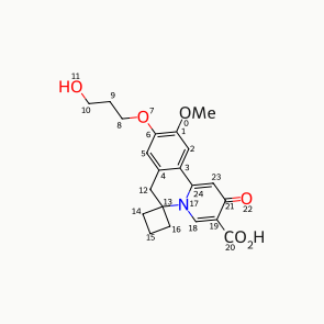 COc1cc2c(cc1OCCCO)CC1(CCC1)n1cc(C(=O)O)c(=O)cc1-2